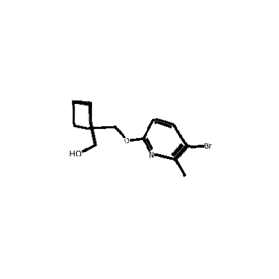 Cc1nc(OCC2(CO)CCC2)ccc1Br